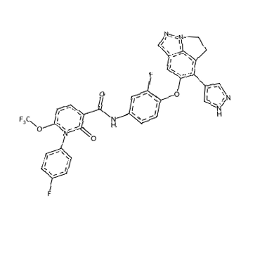 O=C(Nc1ccc(Oc2cc3cnn4c3c(c2-c2cn[nH]c2)CC4)c(F)c1)c1ccc(OC(F)(F)F)n(-c2ccc(F)cc2)c1=O